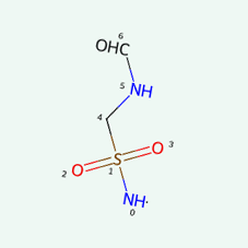 [NH]S(=O)(=O)CNC=O